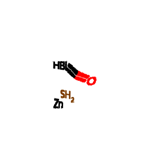 S.[O]=[BiH].[Zn]